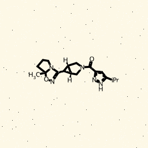 CC(C)c1cc(C(=O)N2C[C@@H]3C(C4=NOC5(C)CCCN45)[C@@H]3C2)n[nH]1